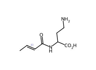 C/C=C/C(=O)NC(CCN)C(=O)O